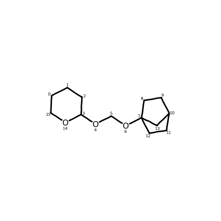 C1CCC(OCOC23CCC(CC2)C3)OC1